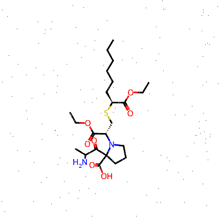 CCCCCC[C@H](SC[C@@H](C(=O)OCC)N1CCCC1(C(=O)O)C(=O)C(C)N)C(=O)OCC